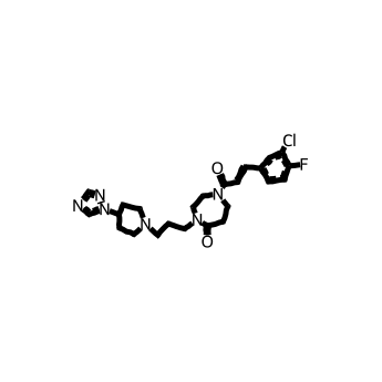 O=C(C=Cc1ccc(F)c(Cl)c1)N1CCC(=O)N(CCCN2CCC(n3cncn3)CC2)CC1